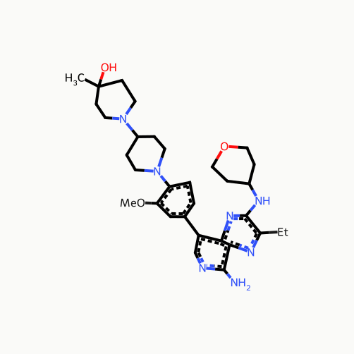 CCc1nc2c(N)ncc(-c3ccc(N4CCC(N5CCC(C)(O)CC5)CC4)c(OC)c3)c2nc1NC1CCOCC1